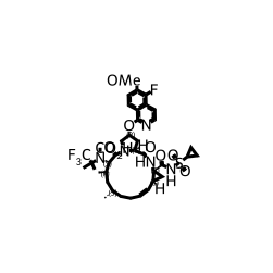 COc1ccc2c(O[C@@H]3C[C@H]4C(=O)N[C@]5(C(=O)NS(=O)(=O)C6CC6)C[C@H]5C=CCC[C@H](C)C[C@@H](C)[C@H](N(C(=O)O)C(C)(C)C(F)(F)F)C(=O)N4C3)nccc2c1F